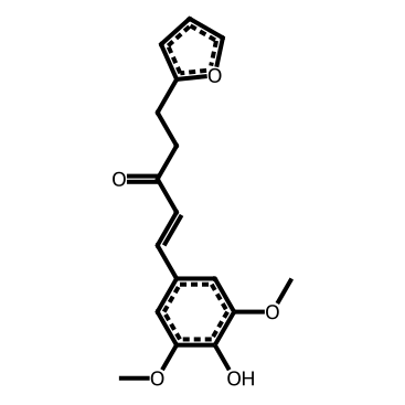 COc1cc(C=CC(=O)CCc2ccco2)cc(OC)c1O